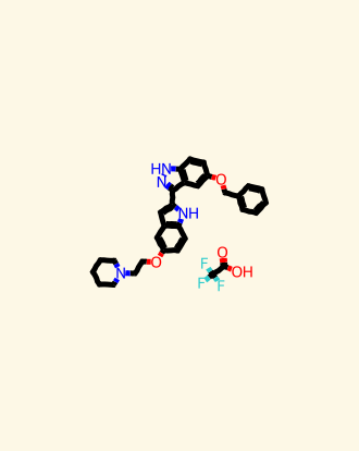 O=C(O)C(F)(F)F.c1ccc(COc2ccc3[nH]nc(-c4cc5cc(OCCN6CCCCC6)ccc5[nH]4)c3c2)cc1